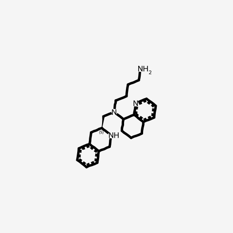 NCCCCN(C[C@@H]1Cc2ccccc2CN1)C1CCCc2cccnc21